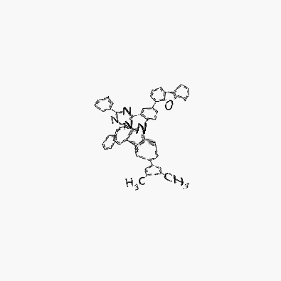 Cc1cc(C)cc(-c2ccc3c(c2)c2ccccc2n3-c2ccc(-c3cccc4c3oc3ccccc34)cc2-c2nc(-c3ccccc3)nc(-c3ccccc3)n2)c1